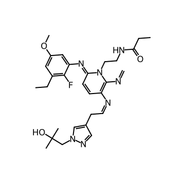 C=Nc1c(/N=C\Cc2cnn(CC(C)(C)O)c2)cc/c(=N\c2cc(OC)cc(CC)c2F)n1CCNC(=O)CC